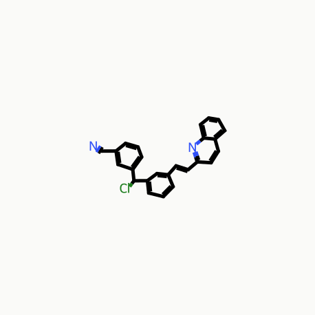 N#Cc1cccc(C(Cl)c2cccc(C=Cc3ccc4ccccc4n3)c2)c1